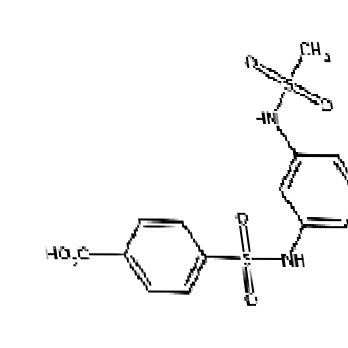 CS(=O)(=O)Nc1cccc(NS(=O)(=O)c2ccc(C(=O)O)cc2)c1